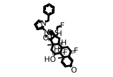 C[C@]12C=CC(=O)C=C1[C@@H](F)C[C@H]1[C@@H]3C[C@H]4CN(c5cccn5Cc5ccccc5)O[C@@]4(C(=O)SCF)[C@@]3(C)C[C@H](O)[C@@]12F